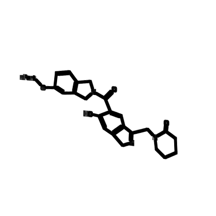 CCCCCOc1ccc2c(c1)CN(C(=O)c1cc3c(cc1O)CN=C3CN1CCCCC1=O)C2